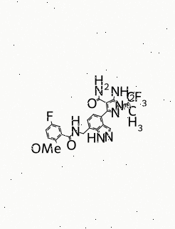 COc1ccc(F)cc1C(=O)NCc1ccc(-c2nn([C@H](C)C(F)(F)F)c(N)c2C(N)=O)c2cn[nH]c12